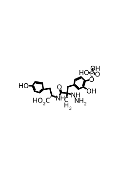 CC(Cc1ccc(OP(=O)(O)O)c(O)c1)(NN)C(=O)N[C@@H](Cc1ccc(O)cc1)C(=O)O